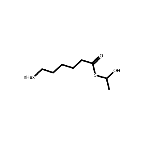 CCCCCCCCCCCC(=O)SC(C)O